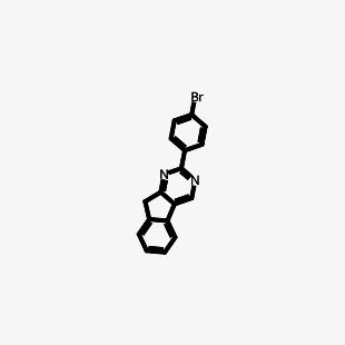 Brc1ccc(-c2ncc3c(n2)Cc2ccccc2-3)cc1